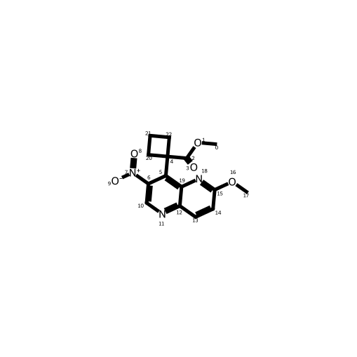 COC(=O)C1(c2c([N+](=O)[O-])cnc3ccc(OC)nc23)CCC1